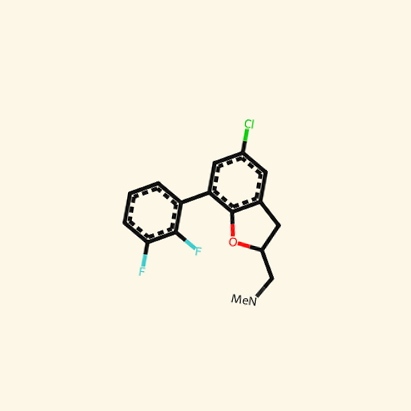 CNCC1Cc2cc(Cl)cc(-c3cccc(F)c3F)c2O1